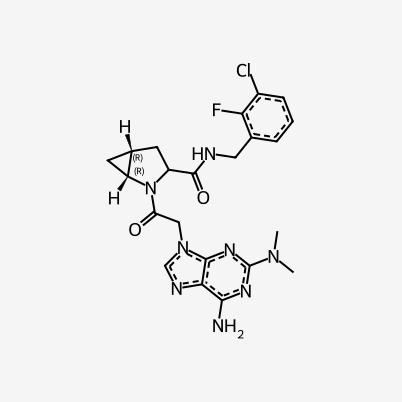 CN(C)c1nc(N)c2ncn(CC(=O)N3C(C(=O)NCc4cccc(Cl)c4F)C[C@H]4C[C@H]43)c2n1